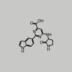 O=C(O)c1cc(NC2CCNC2=O)nc(-c2ccc3[nH]ccc3c2)n1